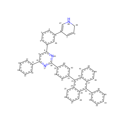 C1=CC(c2cccc(-c3cc(-c4ccccc4)nc(-c4ccc(-c5c6ccccc6c(-c6ccccc6)c6ccccc56)cc4)n3)c2)=CNC1